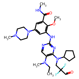 CCN(C)c1cnc(Nc2cc(N3CCN(C)CC3)cc(C(=O)NC)c2OC)nc1N(CC(F)(F)C=O)C1CCCC1